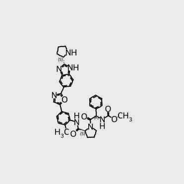 COC(=O)N[C@@H](C(=O)N1CCC[C@H]1C(=O)Nc1cc(-c2cnc(-c3ccc4[nH]c([C@@H]5CCCN5)nc4c3)o2)ccc1C)c1ccccc1